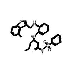 CCCC(CC(=O)N(C)S(=O)(=O)c1ccccc1)Nc1ccccc1NCc1csc2cccc(C)c12